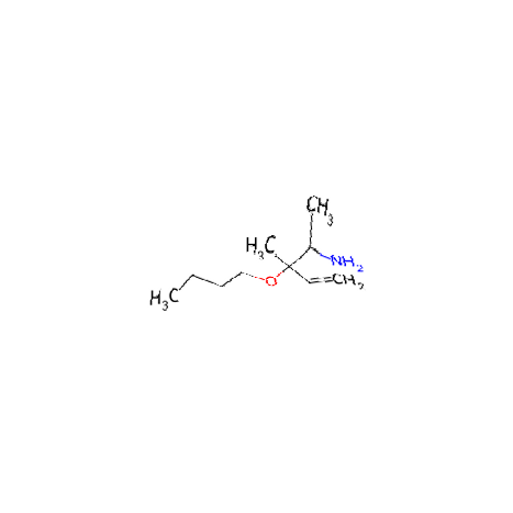 C=CC(C)(OCCCC)C(C)N